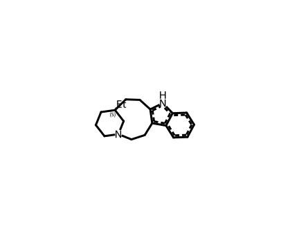 CC[C@]12CCCN(CCc3c([nH]c4ccccc34)CC1)C2